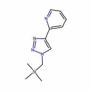 C[Si](C)(C)Cn1cc(-c2ccccn2)nn1